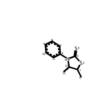 CC1SC(=S)N(c2ccccc2)C1C